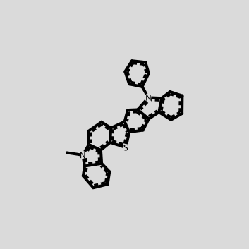 Cn1c2ccccc2c2c3sc4cc5c6ccccc6n(-c6ccccc6)c5cc4c3ccc21